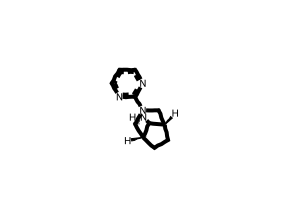 NC1[C@@H]2CC[C@H]1CN(c1ncccn1)C2